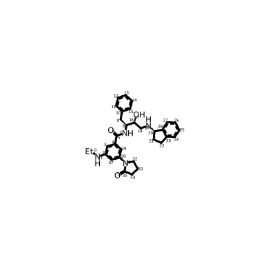 CCNc1cc(C(=O)N[C@@H](Cc2ccccc2)[C@@H](O)CN[C@@H]2CCc3ccccc32)cc(N2CCCC2=O)c1